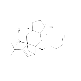 CC(C)C1=C[C@H]2C[C@@]3(C=O)[C@@H]4CC[C@@H](C)[C@H]4C[C@@]2(COC[C@@H](C)O)[C@]13C(=O)O